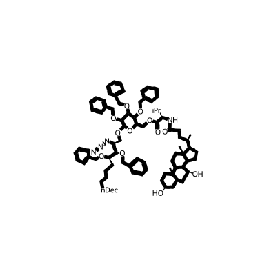 CCCCCCCCCCCCCC[C@@H](OCc1ccccc1)[C@@H](OCc1ccccc1)[C@H](COC1OC(COC(=O)[C@@H](NC(=O)CC[C@@H](C)C2CCC3C4C(CC[C@@]32C)[C@@]2(C)CC[C@@H](O)CC2C[C@H]4O)C(C)C)C(OCc2ccccc2)C(OCc2ccccc2)C1OCc1ccccc1)N=[N+]=[N-]